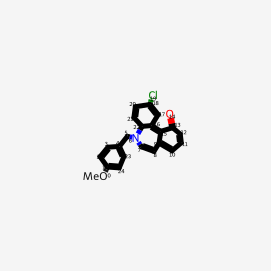 COc1ccc(CN2C=CC3=CC=CC(=O)C3=C3C=C(Cl)C=CC32)cc1